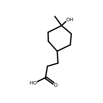 CC1(O)CCC(CCC(=O)O)CC1